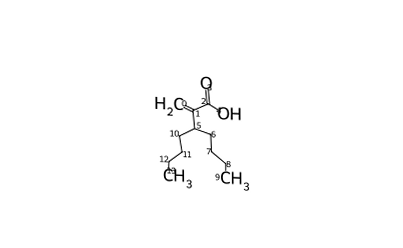 C=C(C(=O)O)C(CCCC)CCCC